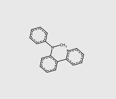 CN(c1ccccc1)c1ccccc1-c1ccccn1